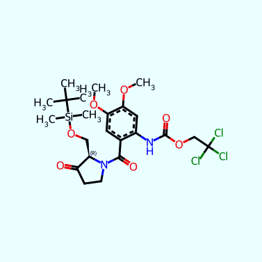 COc1cc(NC(=O)OCC(Cl)(Cl)Cl)c(C(=O)N2CCC(=O)[C@H]2CO[Si](C)(C)C(C)(C)C)cc1OC